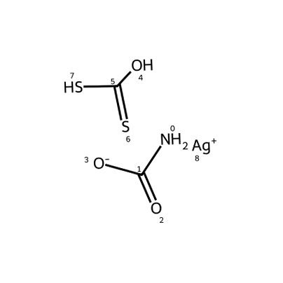 NC(=O)[O-].OC(=S)S.[Ag+]